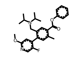 COc1cc(-c2cc(C)c(C(=O)Oc3ccccc3)cc2CN(C(C)C)C(C)C)c(F)cn1